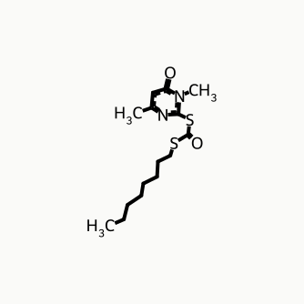 CCCCCCCCSC(=O)Sc1nc(C)cc(=O)n1C